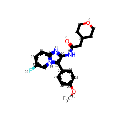 O=C(CC1CCOCC1)Nc1nc2ccc(F)cn2c1-c1ccc(OC(F)(F)F)cc1